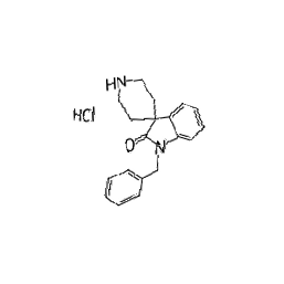 Cl.O=C1N(Cc2ccccc2)c2ccccc2C12CCNCC2